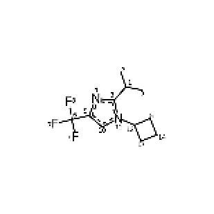 CC(C)c1nc(C(F)(F)F)cn1C1CCC1